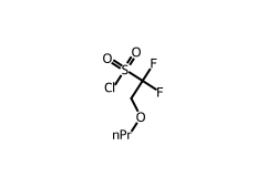 CCCOCC(F)(F)S(=O)(=O)Cl